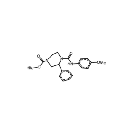 COc1ccc(NC(=O)N2CCN(C(=O)OC(C)(C)C)CC2c2ccccc2)cc1